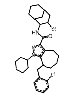 CCC1CC2CCCC(C2)C1NC(=O)c1nn(C2CCCCC2)c2c1CCCCC2Cc1ccccc1Cl